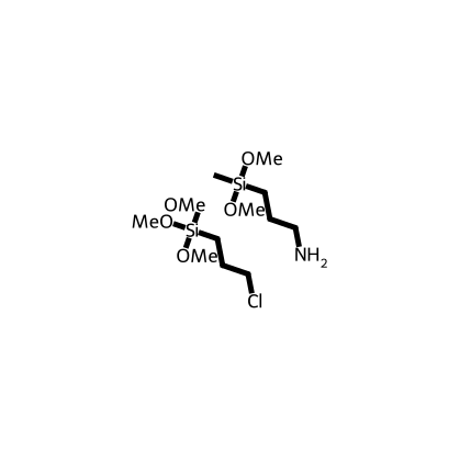 CO[Si](C)(CCCN)OC.CO[Si](CCCCl)(OC)OC